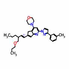 CCCOCC(/C=C/C1=Cc2nc(-n3ccc(-c4cccc(C)c4)n3)cc(N3CCOCC3)c2C1)CCC